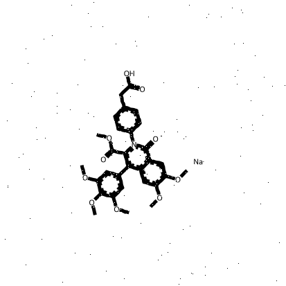 COC(=O)c1c(-c2cc(OC)c(OC)c(OC)c2)c2cc(OC)c(OC)cc2c(=O)n1-c1ccc(CC(=O)O)cc1.[Na]